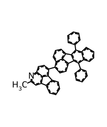 Cc1cc2c3c(c(-c4ccc5c6c(cccc46)-c4c-5c(-c5ccccc5)c5ccccc5c4-c4ccccc4)ccc3n1)-c1ccccc1-2